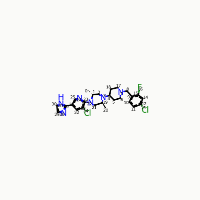 C[C@@H]1CN(C2CCN(Cc3ccc(Cl)cc3F)CC2)[C@@H](C)CN1c1ncc(-c2ncc[nH]2)cc1Cl